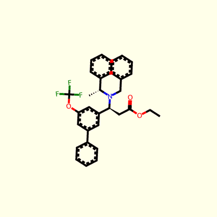 CCOC(=O)C[C@@H](c1cc(OC(F)(F)F)cc(-c2ccccc2)c1)N(Cc1ccccc1)[C@H](C)c1ccccc1